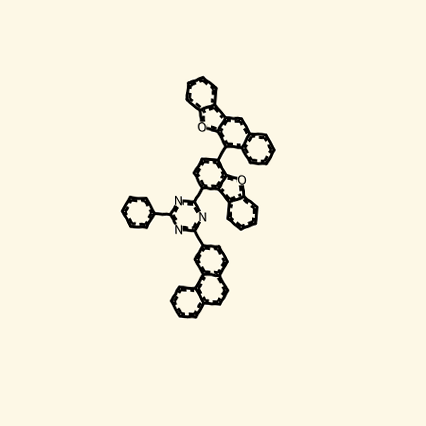 c1ccc(-c2nc(-c3ccc4ccc5ccccc5c4c3)nc(-c3ccc(-c4c5ccccc5cc5c4oc4ccccc45)c4oc5ccccc5c34)n2)cc1